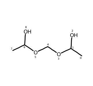 CC(O)OCOC(C)O